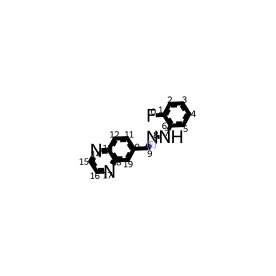 Fc1ccccc1N/N=C/c1ccc2nccnc2c1